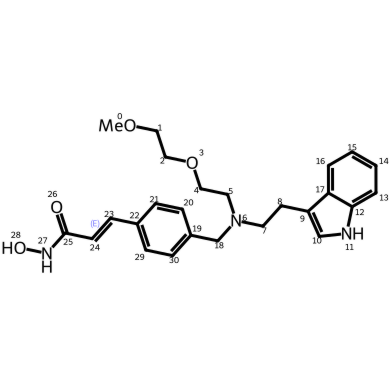 COCCOCCN(CCc1c[nH]c2ccccc12)Cc1ccc(/C=C/C(=O)NO)cc1